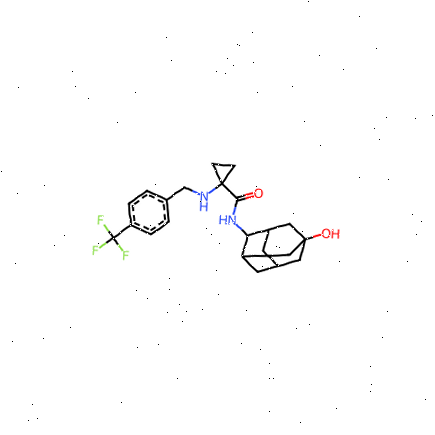 O=C(NC1C2CC3CC1CC(O)(C3)C2)C1(NCc2ccc(C(F)(F)F)cc2)CC1